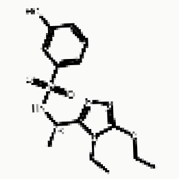 CCOc1nnc([C@@H](C)NS(=O)(=O)c2cccc(O)c2)n1CC